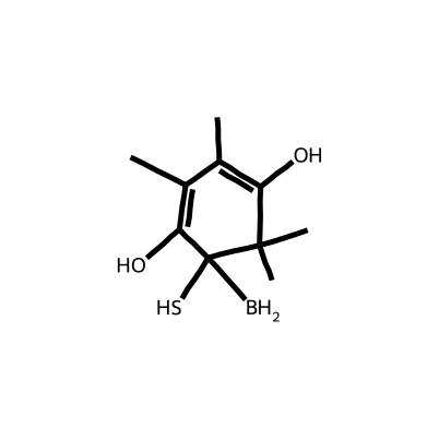 BC1(S)C(O)=C(C)C(C)=C(O)C1(C)C